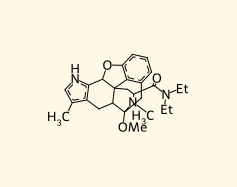 CCN(CC)C(=O)C1CC23c4c5cccc4OC2c2[nH]cc(C)c2CC3C(OC)(C5)N1C